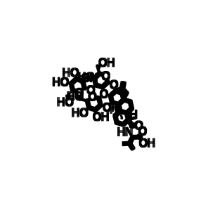 C=C1C[C@@]23CC[C@H]4[C@@](C)(CCC[C@@]4(C)C(=O)N[C@@H](C(=O)O)C(C)C)[C@@H]2CC[C@]1(O[C@@H]1O[C@H](CO)[C@@H](O)[C@H](O[C@@H]2O[C@H](CO)[C@@H](O)[C@H](O)[C@H]2O)[C@H]1O[C@@H]1O[C@H](CO)[C@@H](O)[C@H](O)[C@H]1O)C3